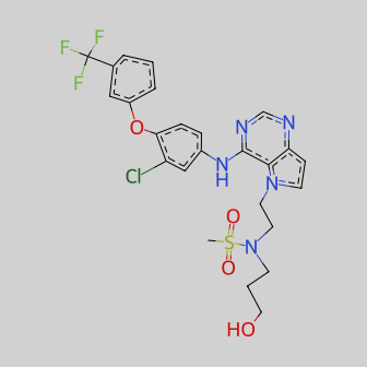 CS(=O)(=O)N(CCCO)CCn1ccc2ncnc(Nc3ccc(Oc4cccc(C(F)(F)F)c4)c(Cl)c3)c21